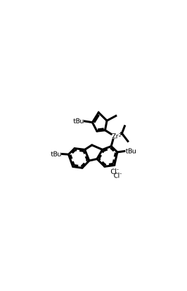 C[C](C)=[Zr+2]([C]1=CC(C(C)(C)C)=CC1C)[c]1c(C(C)(C)C)ccc2c1Cc1cc(C(C)(C)C)ccc1-2.[Cl-].[Cl-]